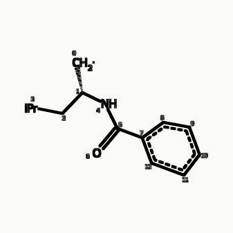 [CH2][C@@H](CC(C)C)NC(=O)c1ccccc1